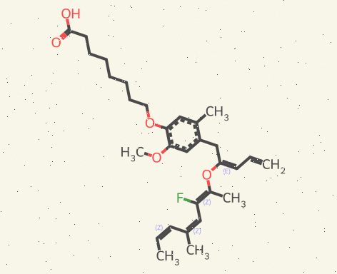 C=C/C=C(\Cc1cc(OC)c(OCCCCCCCC(=O)O)cc1C)O/C(C)=C(F)/C=C(C)\C=C/C